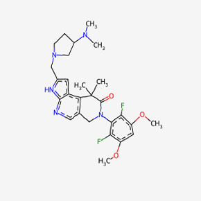 COc1cc(OC)c(F)c(N2Cc3cnc4[nH]c(CN5CCC(N(C)C)C5)cc4c3C(C)(C)C2=O)c1F